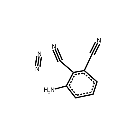 N#Cc1cccc(N)c1C#N.N#N